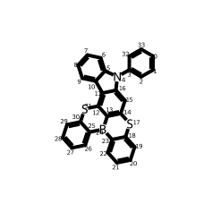 c1ccc(-n2c3ccccc3c3c4c5c(cc32)Sc2ccccc2B5c2ccccc2S4)cc1